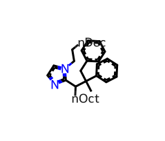 CCCCCCCCCCCCn1ccnc1C(CCCCCCCC)C(C)(Cc1ccccc1)c1ccccc1